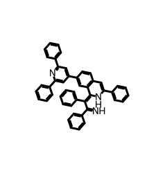 N=C(/C(=C1\NC(c2ccccc2)=Cc2ccc(-c3cc(-c4ccccc4)nc(-c4ccccc4)c3)cc21)c1ccccc1)c1ccccc1